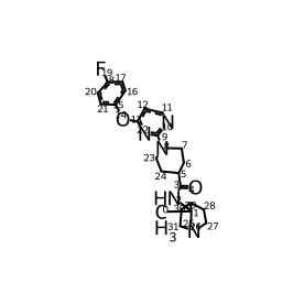 CC1(NC(=O)C2CCN(c3nccc(Oc4ccc(F)cc4)n3)CC2)CN2CCC1CC2